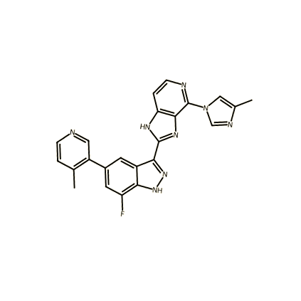 Cc1cn(-c2nccc3[nH]c(-c4n[nH]c5c(F)cc(-c6cnccc6C)cc45)nc23)cn1